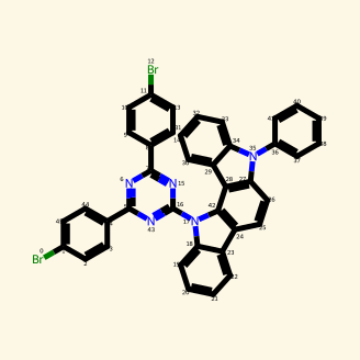 Brc1ccc(-c2nc(-c3ccc(Br)cc3)nc(-n3c4ccccc4c4ccc5c(c6ccccc6n5-c5ccccc5)c43)n2)cc1